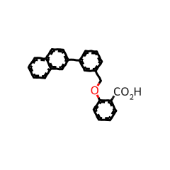 O=C(O)c1ccccc1OCc1cccc(-c2ccc3ccccc3c2)c1